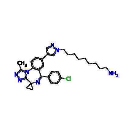 Cc1nnc2n1-c1ccc(-c3cnn(CCCCCCCCCN)c3)cc1C(c1ccc(Cl)cc1)=NC21CC1